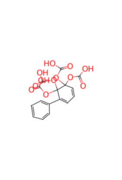 O=C(O)OC1(OC(=O)O)C=CC=C(c2ccccc2)C1(OC(=O)O)OC(=O)O